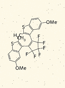 COc1ccc2sc(C)c(C3=C(c4c(C)sc5ccc(OC)cc45)C(F)(F)C(F)(F)C3(F)F)c2c1